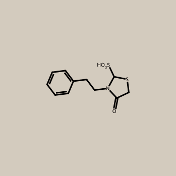 O=C1CSC(S(=O)(=O)O)N1CCc1ccccc1